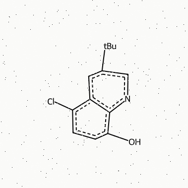 CC(C)(C)c1cnc2c(O)ccc(Cl)c2c1